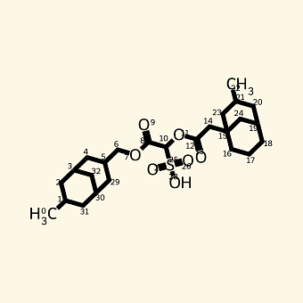 CC1CC2CC(COC(=O)C(OC(=O)CC34CCCC(CC(C)C3)C4)S(=O)(=O)O)CC(C1)C2